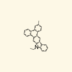 CCn1c2ccccc2c2cc3c4ccc(C)cc4c4ccccc4c3cc21